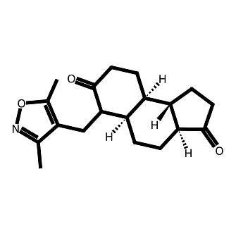 Cc1noc(C)c1CC1C(=O)CC[C@H]2[C@@H]3CCC(=O)[C@H]3CC[C@@H]12